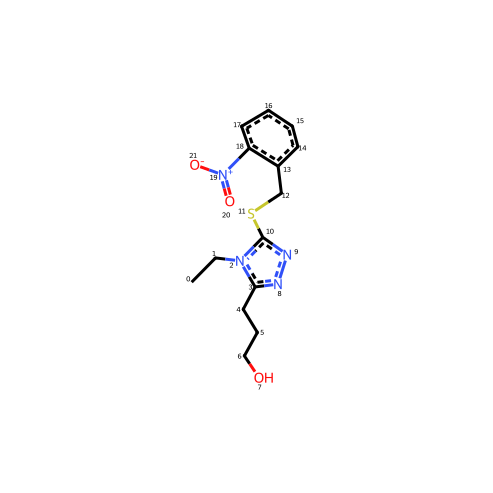 CCn1c(CCCO)nnc1SCc1ccccc1[N+](=O)[O-]